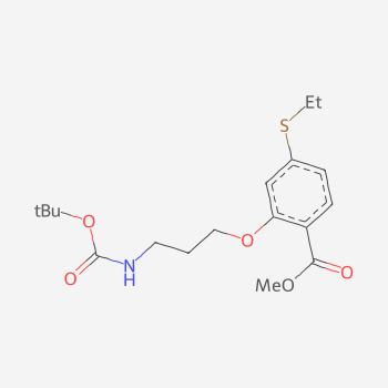 CCSc1ccc(C(=O)OC)c(OCCCNC(=O)OC(C)(C)C)c1